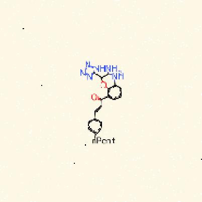 CCCCCc1ccc(C=CC(=O)c2cccc3c2OC(c2nnn[nH]2)C(N)N3)cc1